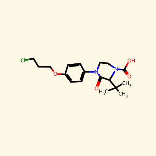 CC(C)(C)C1C(=O)N(c2ccc(OCCCCl)cc2)CCN1C(=O)O